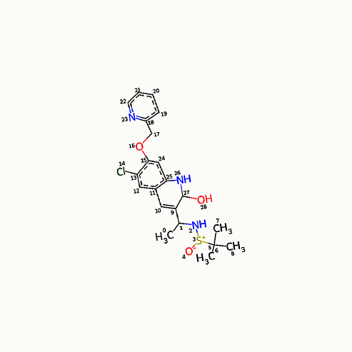 CC(N[S+]([O-])C(C)(C)C)C1=Cc2cc(Cl)c(OCc3ccccn3)cc2NC1O